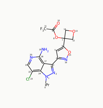 CC(C)n1nc(-c2cc(C3(OC(=O)C(F)(F)F)COC3)on2)c2c(N)ncc(Cl)c21